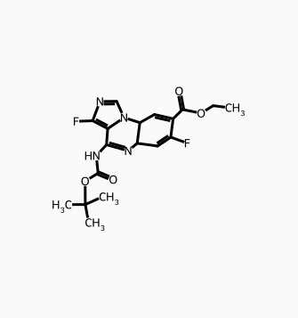 CCOC(=O)C1=CC2C(C=C1F)N=C(NC(=O)OC(C)(C)C)c1c(F)ncn12